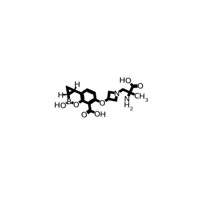 CC(N)(CN1CC(Oc2ccc3c(c2C(=O)O)OB(O)[C@@H]2C[C@H]32)C1)C(=O)O